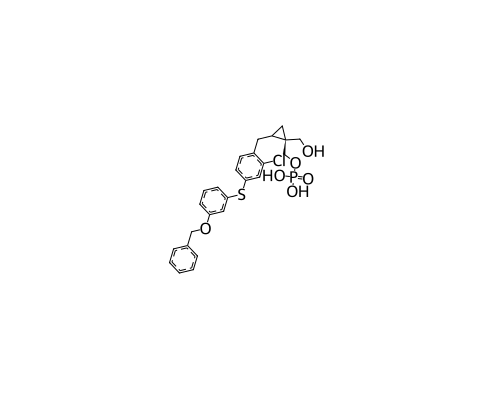 O=P(O)(O)OC[C@]1(CO)CC1Cc1ccc(Sc2cccc(OCc3ccccc3)c2)cc1Cl